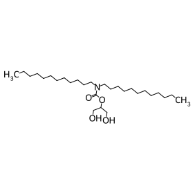 CCCCCCCCCCCCN(CCCCCCCCCCCC)C(=O)OC(CO)CO